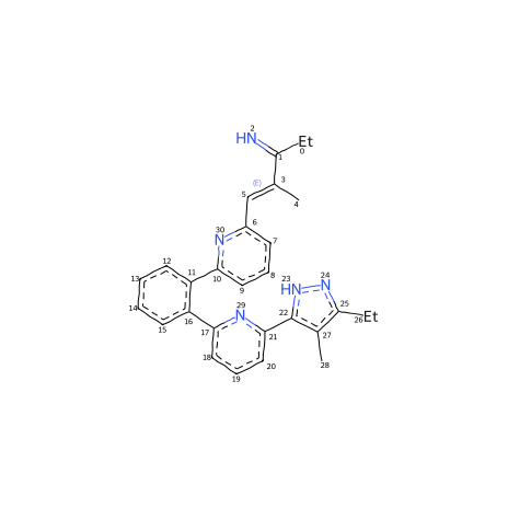 CCC(=N)/C(C)=C/c1cccc(-c2ccccc2-c2cccc(-c3[nH]nc(CC)c3C)n2)n1